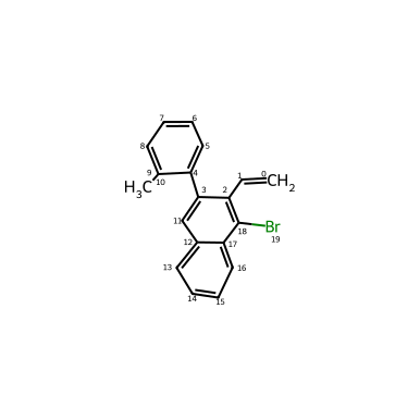 C=Cc1c(-c2ccccc2C)cc2ccccc2c1Br